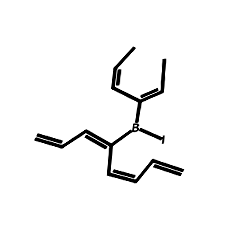 C=C/C=C\C(=C/C=C)B(I)C(/C=C\C)=C/C